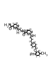 Cc1ccc(C(C)C)c(OCC2CCN(CCCNc3nccc(C(=O)NCCNc4nccc(C(N)=O)n4)n3)CC2)c1